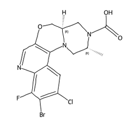 C[C@@H]1CN2c3c(cnc4c(F)c(Br)c(Cl)cc34)OC[C@H]2CN1C(=O)O